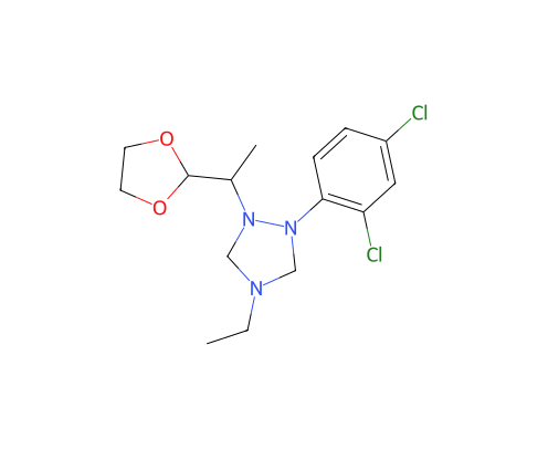 CCN1CN(c2ccc(Cl)cc2Cl)N(C(C)C2OCCO2)C1